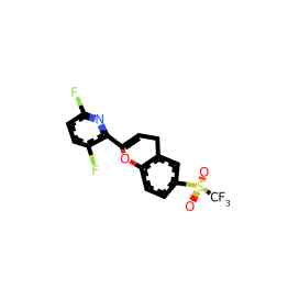 O=S(=O)(c1ccc2c(c1)CC=C(c1nc(F)ccc1F)O2)C(F)(F)F